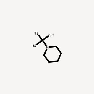 CCCC(CC)(CC)N1CCCCC1